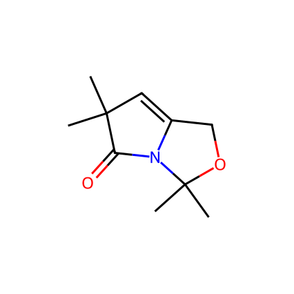 CC1(C)C=C2COC(C)(C)N2C1=O